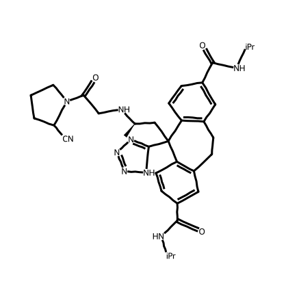 CC(C)NC(=O)c1ccc2c(c1)CCc1cc(C(=O)NC(C)C)ccc1C2(C[C@@H](C)NCC(=O)N1CCCC1C#N)c1nnn[nH]1